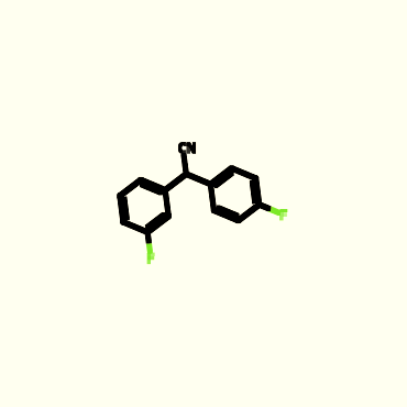 N#CC(c1ccc(F)cc1)c1cccc(F)c1